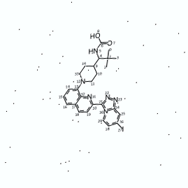 CC(C)(C)C(NC(=O)O)C1CCN(c2cccc3ccc(-c4nnc5cc(I)ccn45)nc23)CC1